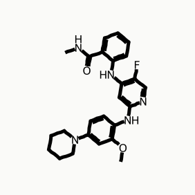 CNC(=O)c1ccccc1Nc1cc(Nc2ccc(N3CCCCC3)cc2OC)ncc1F